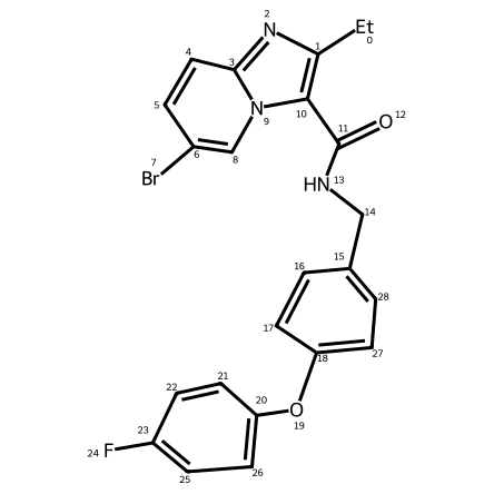 CCc1nc2ccc(Br)cn2c1C(=O)NCc1ccc(Oc2ccc(F)cc2)cc1